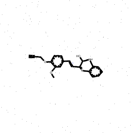 C#CCOc1ccc(/C=C/C2=Nc3ccccc3NC2O)cc1OC